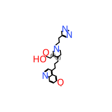 COc1ccc2nccc(CCC[C@@H]3CCN(CCCc4cncnc4)C[C@@H]3CC(=O)O)c2c1